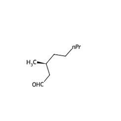 CCCCC[C@H](C)CC=O